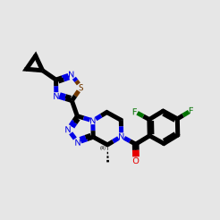 C[C@@H]1c2nnc(-c3nc(C4CC4)ns3)n2CCN1C(=O)c1ccc(F)cc1F